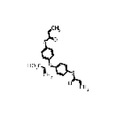 C=CC(=O)O.C=CC(=O)Sc1ccc(Sc2ccc(SC(=O)C=C)cc2)cc1